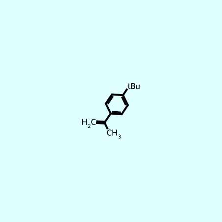 C=C(C)c1ccc(C(C)(C)C)cc1